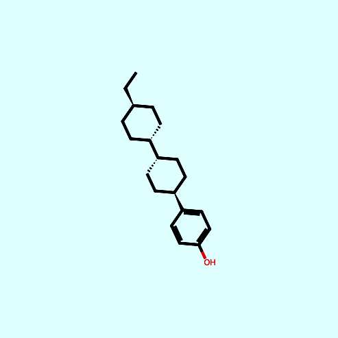 CC[C@H]1CC[C@H]([C@H]2CC[C@H](c3ccc(O)cc3)CC2)CC1